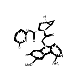 COc1cc2c3c(N)ncnc3n(CC(=O)N3C4C[C@@H]4C[C@H]3C(=O)Nc3cccc(Br)n3)c2cc1F